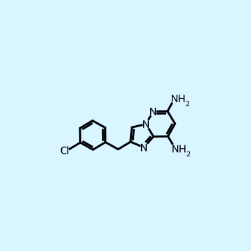 Nc1cc(N)c2nc(Cc3cccc(Cl)c3)cn2n1